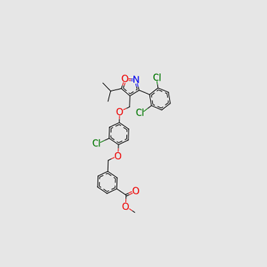 COC(=O)c1cccc(COc2ccc(OCc3c(-c4c(Cl)cccc4Cl)noc3C(C)C)cc2Cl)c1